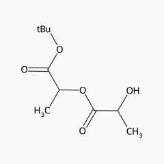 CC(O)C(=O)OC(C)C(=O)OC(C)(C)C